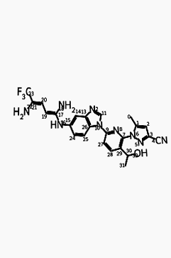 Cc1cc(C#N)nn1-c1nc(-n2cnc3cc(N/C(N)=C/C=C(\N)C(F)(F)F)ccc32)ccc1C(C)O